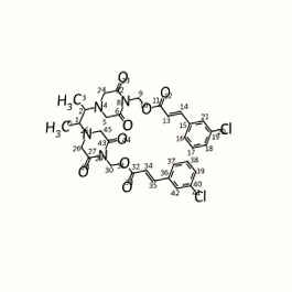 CC(C(C)N1CC(=O)N(COC(=O)/C=C/c2cccc(Cl)c2)C(=O)C1)N1CC(=O)N(COC(=O)/C=C/c2cccc(Cl)c2)C(=O)C1